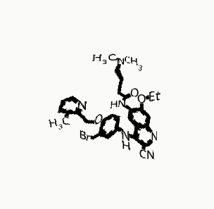 CCOc1cc2ncc(C#N)c(Nc3ccc(OCc4ncccc4C)c(Br)c3)c2cc1NC(=O)CCCN(C)C